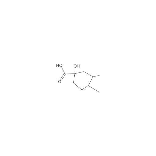 CC1CCC(O)(C(=O)O)CC1C